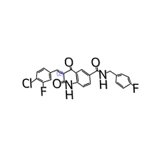 O=C1Nc2ccc(C(=O)NCc3ccc(F)cc3)cc2C(=O)/C1=C/c1ccc(Cl)c(F)c1